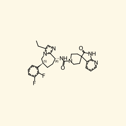 CCc1cnc2n1C[C@H](c1cccc(F)c1F)CC[C@H]2NC(=O)N1CCC2(CC1)C(=O)Nc1ncccc12